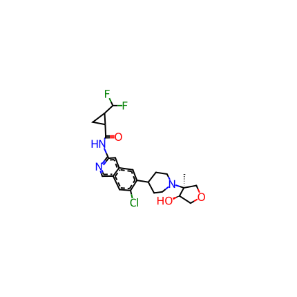 C[C@]1(N2CCC(c3cc4cc(NC(=O)C5CC5C(F)F)ncc4cc3Cl)CC2)COC[C@H]1O